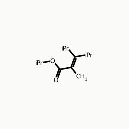 CC(C(=O)OC(C)C)=C(C(C)C)C(C)C